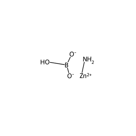 [NH2][Zn+2].[O-]B([O-])O